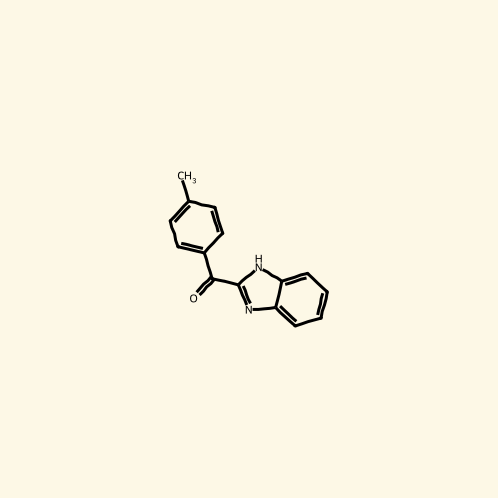 Cc1ccc(C(=O)c2nc3ccccc3[nH]2)cc1